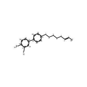 FC=CCCCCCc1ccc(-c2ccc(F)c(F)c2)cc1